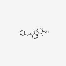 Cc1nc2c(OCc3ccccc3)cccn2c1C(C)C(=O)O